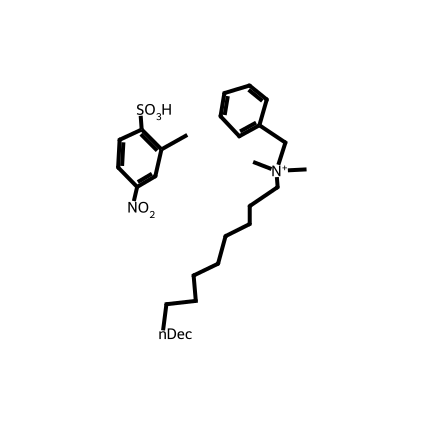 CCCCCCCCCCCCCCCCCC[N+](C)(C)Cc1ccccc1.Cc1cc([N+](=O)[O-])ccc1S(=O)(=O)O